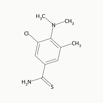 Cc1cc(C(N)=S)cc(Cl)c1N(C)C